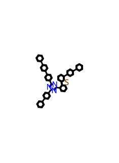 c1ccc(-c2ccc(-c3ccc(-c4nc(-c5ccc(-c6ccccc6)cc5)nc(-c5cccc6sc7c(-c8ccc(-c9ccccc9)cc8)cccc7c56)n4)cc3)cc2)cc1